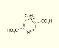 O=C(O)c1cnc(C(=O)O)cn1.[CaH2]